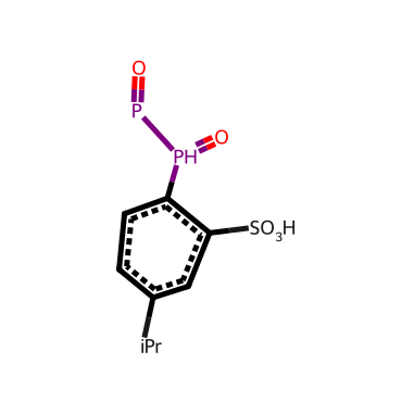 CC(C)c1ccc([PH](=O)P=O)c(S(=O)(=O)O)c1